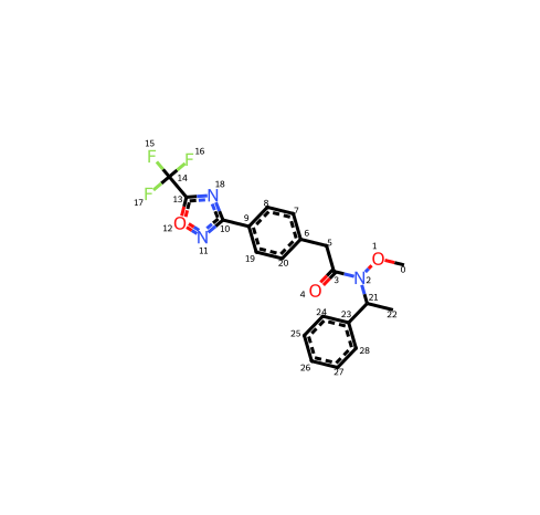 CON(C(=O)Cc1ccc(-c2noc(C(F)(F)F)n2)cc1)C(C)c1ccccc1